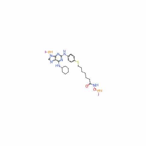 O=C(CCCCCCSc1ccc(Nc2nc(NC3CCCCC3)c3ncn(PI)c3n2)cc1)NOPI